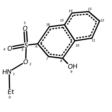 CCNOS(=O)(=O)c1cc(O)c2ccccc2c1